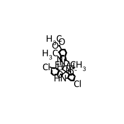 CC[N+]1([O-])[C@H]2Cc3c4ccc(C(=O)OC)c(C)c4nn3[C@H]2[C@H](c2cccc(Cl)c2F)[C@]12C(=O)Nc1cc(Cl)ccc12